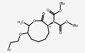 CC(=O)CCOC1CCCC[C@H](N(C(=O)OC(C)(C)C)C(=O)OC(C)(C)C)C(=O)OC1C